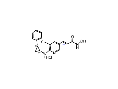 Cl.O=C(/C=C/c1cnc(N[C@H]2C[C@@H]2c2ccccc2)c(Cl)c1)NO